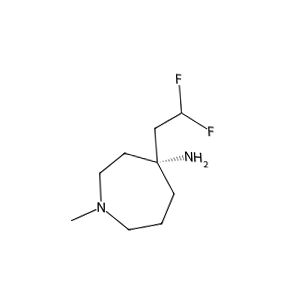 CN1CCC[C@](N)(CC(F)F)CC1